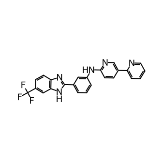 FC(F)(F)c1ccc2nc(-c3cccc(Nc4ccc(-c5ccccn5)cn4)c3)[nH]c2c1